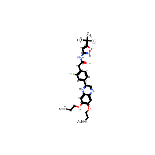 CC(=O)NCCOc1cc2ncc(-c3ccc(CC(=O)Nc4cc(C(C)(C)C(F)(F)F)on4)c(F)c3)nc2cc1OCCNC(C)=O